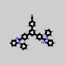 N#Cc1ccc(-c2cc(-c3ccc(-c4nc5ccccc5n4-c4ccccc4)cc3)cc(-c3ccc(C4Nc5ccccc5N4c4ccccc4)cc3)c2)cc1